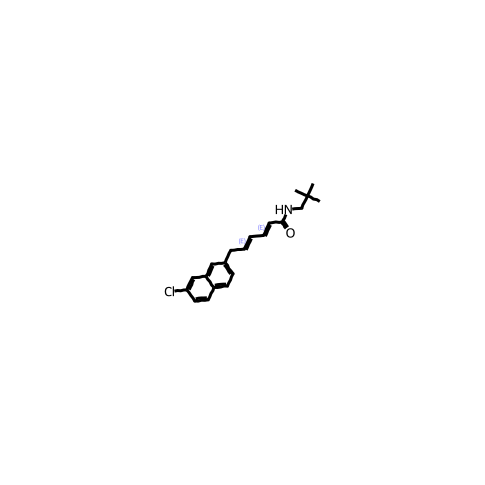 CC(C)(C)CNC(=O)/C=C/C=C/Cc1ccc2ccc(Cl)cc2c1